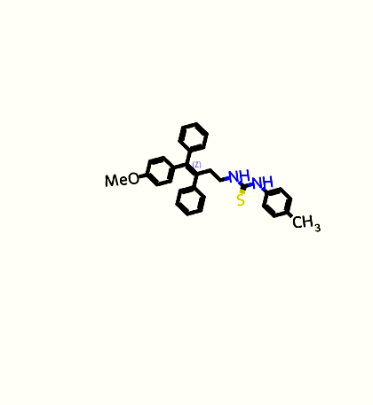 COc1ccc(/C(=C(/CCNC(=S)Nc2ccc(C)cc2)c2ccccc2)c2ccccc2)cc1